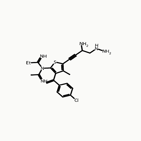 C=C(c1ccc(Cl)cc1)c1c(N(C(C)=N)C(=N)CC)sc(C#CC(N)CNN)c1C